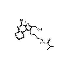 CC(C)C(=O)NCCCCn1c(CO)nc2c(N)nc3ccccc3c21